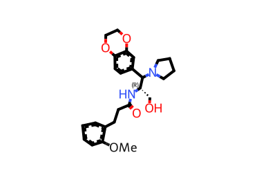 COc1ccccc1CCC(=O)N[C@@H](CO)C(c1ccc2c(c1)OCCO2)N1CCCC1